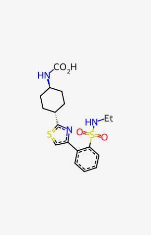 CCNS(=O)(=O)c1ccccc1-c1csc([C@H]2CC[C@H](NC(=O)O)CC2)n1